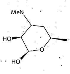 CNC1C[C@@H](C)O[C@@H](O)[C@H]1O